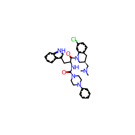 CN(C)C[C@@H]1Cc2ccc(Cl)cc2N(C(=O)C(Cc2c[nH]c3ccccc23)NC(=O)N2CCN(c3ccccc3)CC2)C1